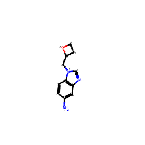 Nc1ccc2c(c1)ncn2CC1CCO1